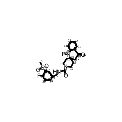 CS(=O)(=O)c1cc(CNC(=O)N2CCC3(CC2)CC(=O)c2ccccc2N3F)ccc1F